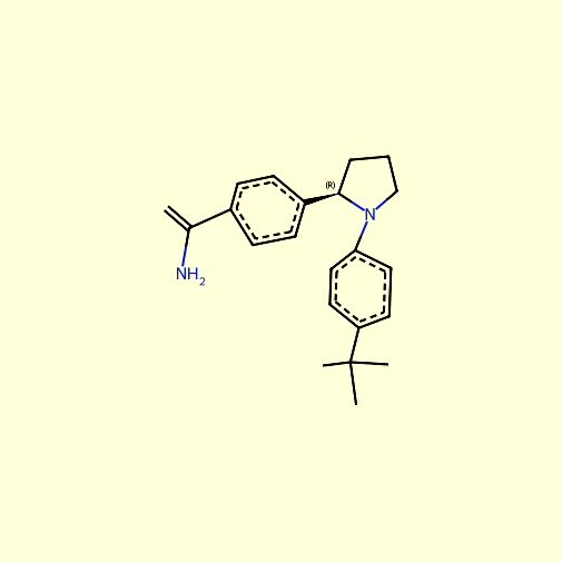 C=C(N)c1ccc([C@H]2CCCN2c2ccc(C(C)(C)C)cc2)cc1